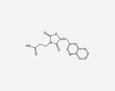 O=C(O)CCN1C(=O)O/C(=C/c2cnc3ccccc3c2)C1=O